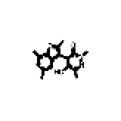 Cc1cc(C)c2oc(C)c(-c3c(O)c(C)nn(C)c3=O)c2c1